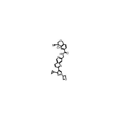 C[C@@]1(C#N)COCc2ccc(C(=O)NCc3cc4nc(-c5cn(C6COC6)nc5C5CC5)ccc4cn3)cc21